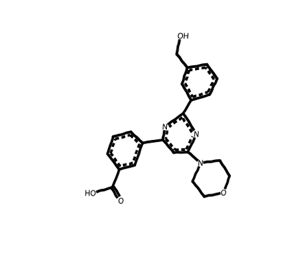 O=C(O)c1cccc(-c2cc(N3CCOCC3)nc(-c3cccc(CO)c3)n2)c1